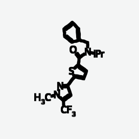 CC(C)N(Cc1ccccc1)C(=O)c1ccc(-c2cc(C(F)(F)F)n(C)n2)s1